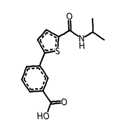 CC(C)NC(=O)c1ccc(-c2cccc(C(=O)O)c2)s1